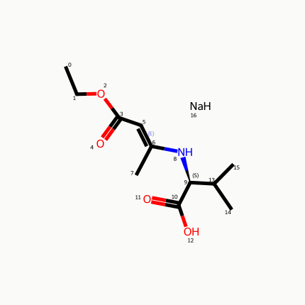 CCOC(=O)/C=C(\C)N[C@H](C(=O)O)C(C)C.[NaH]